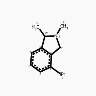 CC(C)c1cccc2c1CN(C)C2C